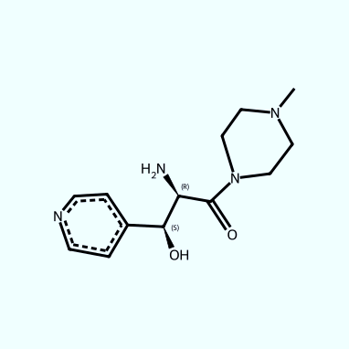 CN1CCN(C(=O)[C@H](N)[C@@H](O)c2ccncc2)CC1